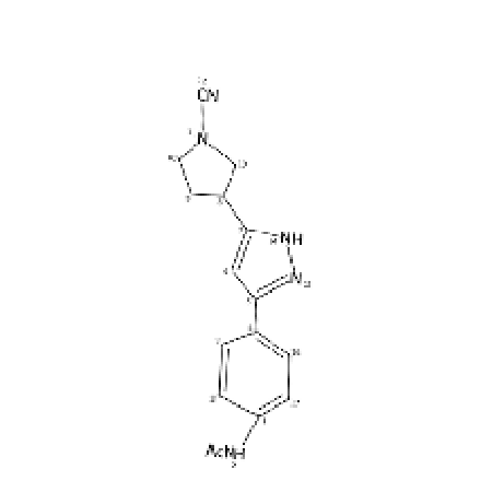 CC(=O)Nc1ccc(-c2cc(C3CCN(C#N)C3)[nH]n2)cc1